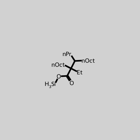 CCCCCCCCC(CCC)C(CC)(CCCCCCCC)C(=O)O[SiH3]